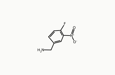 NCc1ccc(F)c([N+](=O)[O-])c1